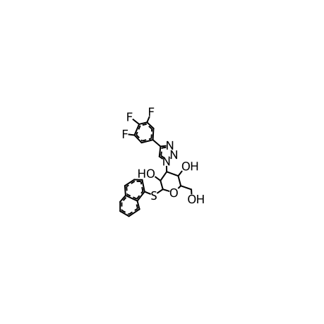 OCC1OC(Sc2cccc3ccccc23)C(O)C(n2cc(-c3cc(F)c(F)c(F)c3)nn2)C1O